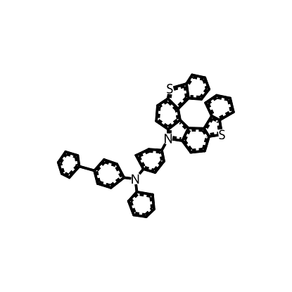 c1ccc(-c2ccc(N(c3ccccc3)c3ccc(-n4c5ccc6sc7ccccc7c6c5c5c6c(ccc54)sc4ccccc46)cc3)cc2)cc1